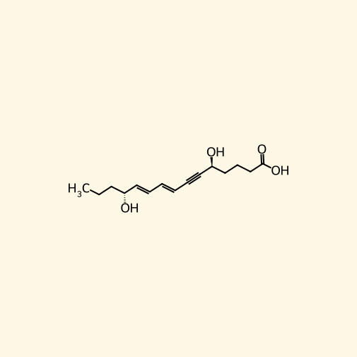 CCC[C@@H](O)/C=C/C=C/C#C[C@@H](O)CCCC(=O)O